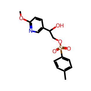 COc1ccc(C(O)COS(=O)(=O)c2ccc(C)cc2)cn1